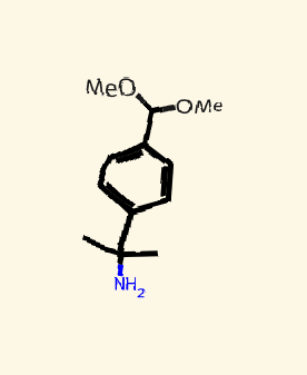 COC(OC)c1ccc(C(C)(C)N)cc1